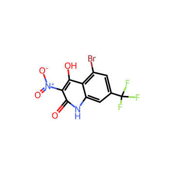 O=c1[nH]c2cc(C(F)(F)F)cc(Br)c2c(O)c1[N+](=O)[O-]